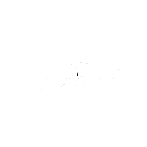 CC(C)(C)c1cccc(C2CC[C@H]3[C@@H]4CCC5NC(=O)CC[C@]5(C)[C@@H]4CC[C@]23C)c1